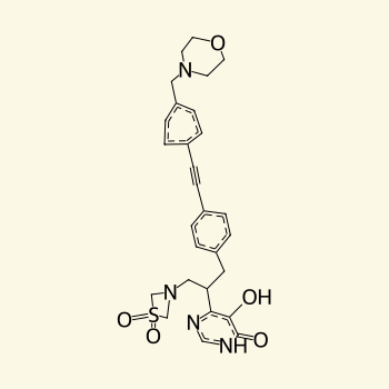 O=c1[nH]cnc(C(Cc2ccc(C#Cc3ccc(CN4CCOCC4)cc3)cc2)CN2CS(=O)(=O)C2)c1O